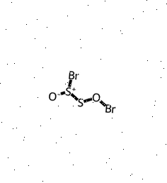 [O-][S+](Br)SOBr